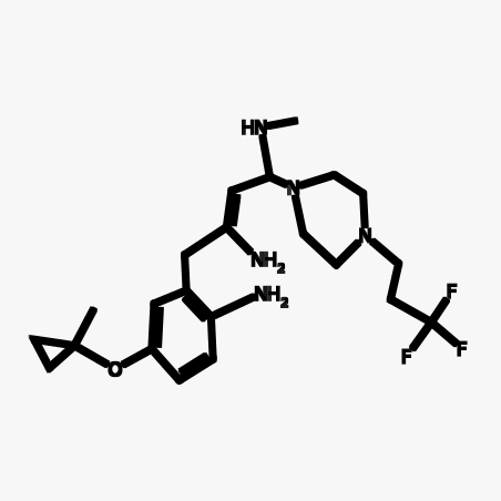 CNC(/C=C(\N)Cc1cc(OC2(C)CC2)ccc1N)N1CCN(CCC(F)(F)F)CC1